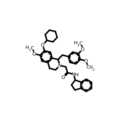 COc1ccc(CC2c3cc(OC4CCCCC4)c(OC)cc3CCN2CC(=O)NC2CCc3ccccc32)cc1OC